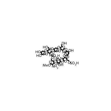 CO[C@H]1OC(COS(=O)(=O)O)[C@@H](O[C@H]2C[C@H](O)[C@H](O[C@H]3OC(COS(=O)(=O)O)[C@H](O[C@H]4C[C@H](O)[C@H](O[C@H]5OC(CO)[C@@H](O[C@H]6C[C@H](O)[C@H](O[C@@H]7OC(CO)[C@H](O[C@H]8C[C@H](O)[C@H](O)CO8)[C@H](O)C7N)CO6)[C@H](O)C5N)CO4)[C@H](O)C3N)CO2)[C@H](O)C1N